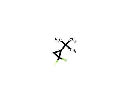 CC(C)(C)C1[CH]C1(F)F